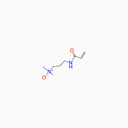 C=CC(=O)NCCC[N+](C)(C)[O-]